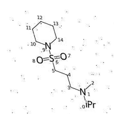 CC(C)N(C)CCCS(=O)(=O)N1CC[CH]CC1